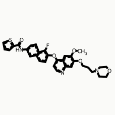 COc1cc2c(Oc3ccc4cc(NC(=O)c5cccs5)ccc4c3F)ccnc2cc1OCCCN1CCOCC1